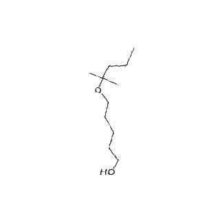 CCCC(C)(C)OCCCCCO